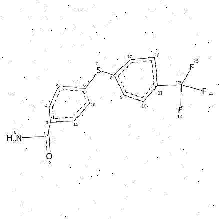 NC(=O)c1ccc(Sc2ccc(C(F)(F)F)cc2)cc1